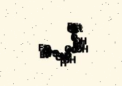 CCO[Si](CCCOCC(O)CNc1cc(C(=O)c2ccc(O)c(NCC(O)COCCC[Si](OCC)(OCC)OCC)c2)ccc1O)(OCC)OCC